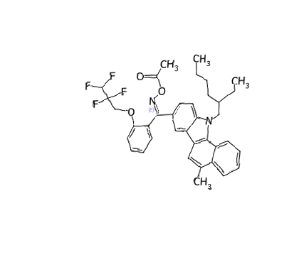 CCCCC(CC)Cn1c2ccc(/C(=N\OC(C)=O)c3ccccc3OCC(F)(F)C(F)F)cc2c2cc(C)c3ccccc3c21